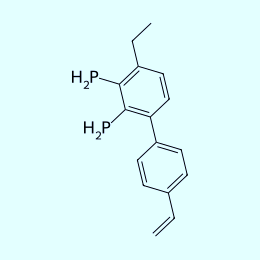 C=Cc1ccc(-c2ccc(CC)c(P)c2P)cc1